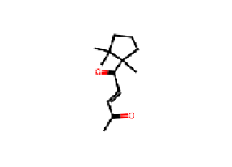 CC(=O)C=CC(=O)C1(C)CCCC1(C)C